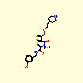 COc1cccc(CNC(=O)c2nc3scc(COCCC4CCNCC4)c3c(=O)[nH]2)c1.Cl